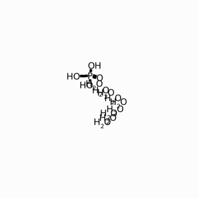 O.O.O.O.O.O.O.O.O.O=P(O)(O)O